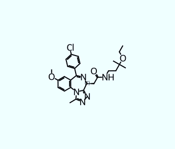 CCOC(C)(C)CCNC(=O)C[C@@H]1N=C(c2ccc(Cl)cc2)c2cc(OC)ccc2-n2c(C)nnc21